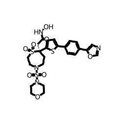 O=C(C[C@]1(c2ccc(-c3ccc(-c4cnco4)cc3)s2)CCN(S(=O)(=O)N2CCOCC2)CCS1(=O)=O)NO